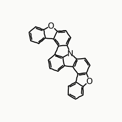 c1ccc2c(c1)oc1ccc3c(c4cccc5c6c7c(ccc6n3c45)oc3ccccc37)c12